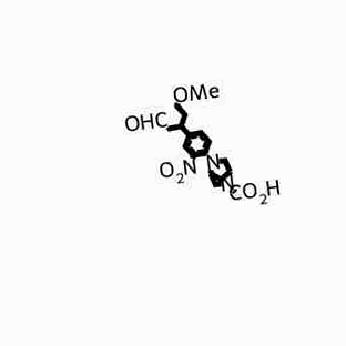 COCCC(CC=O)c1ccc(N2CC3CC2CN3C(=O)O)c([N+](=O)[O-])c1